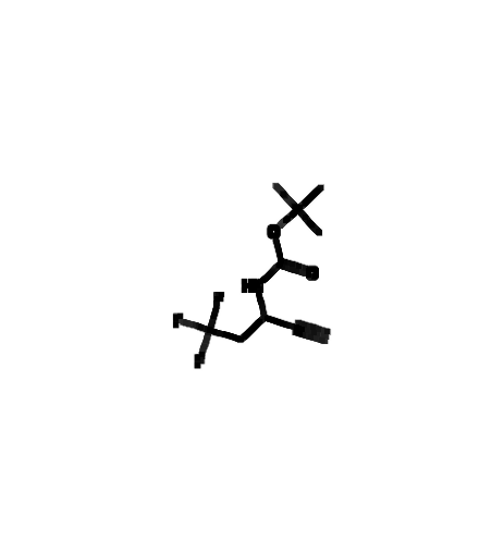 C#CC(CC(F)(F)F)NC(=O)OC(C)(C)C